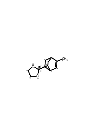 CC1=CC2C(C(C)C)CC1CC2C1OCCO1